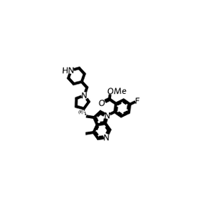 COC(=O)c1cc(F)ccc1-n1cc(C[C@@H]2CCN(CC3CCNCC3)C2)c2c(C)cncc21